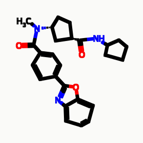 CN(C(=O)c1ccc(-c2nc3ccccc3o2)cc1)[C@@H]1CC[C@H](C(=O)NC2CCCC2)C1